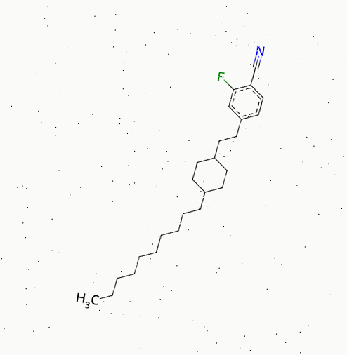 CCCCCCCCCCC1CCC(CCc2ccc(C#N)c(F)c2)CC1